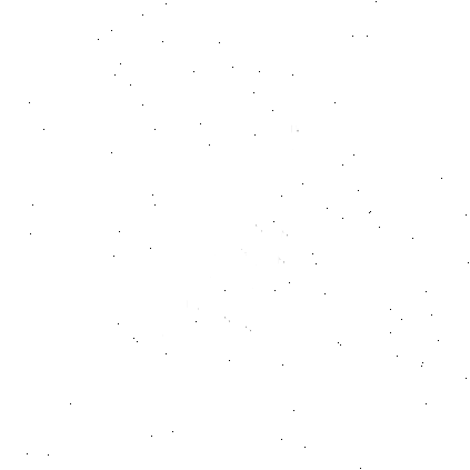 CC(C)Cn1ncc(-c2nnn(Cc3ccc(Br)cc3)n2)c1SCc1ccccc1